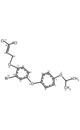 CC(C)Oc1ccc(Oc2ccc(OCC=C(Cl)Cl)c(Br)c2)cc1